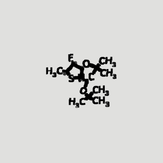 C[C@@H]1S[C@H](COC(C)(C)C)C(OC(C)(C)C)[C@H]1F